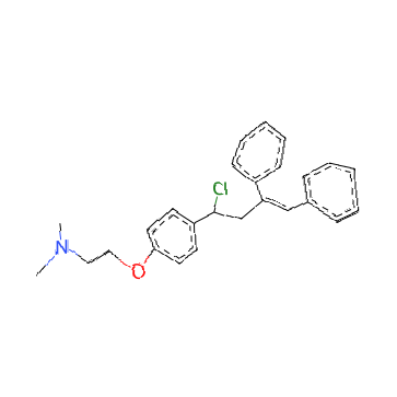 CN(C)CCOc1ccc(C(Cl)CC(=Cc2ccccc2)c2ccccc2)cc1